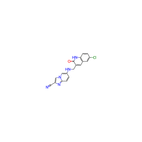 N#Cc1cn2cc(NCc3cc4cc(Cl)ccc4[nH]c3=O)ccc2n1